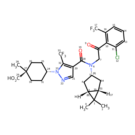 CC1(C)[C@@H]2C[C@H](N(CC(=O)c3c(Cl)cccc3C(F)(F)F)C(=O)c3cnn([C@H]4CC[C@](C)(C(=O)O)CC4)c3C(F)(F)F)C[C@@H]21